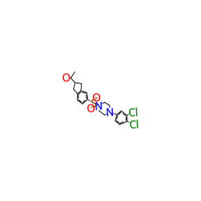 CC(=O)C1Cc2ccc(S(=O)(=O)N3CCN(c4ccc(Cl)c(Cl)c4)CC3)cc2C1